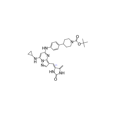 C=c1[nH]c(=O)[nH]/c1=C\c1cnn2c(NC3CC3)cc(Nc3ccc(C4CCN(C(=O)OC(C)(C)C)CC4)cc3)nc12